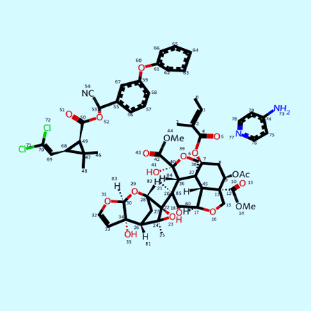 C/C=C(\C)C(=O)O[C@H]1C[C@@H](OC(C)=O)[C@@]2(C(=O)OC)CO[C@H]3[C@@H](O)[C@@](C)([C@]45O[C@@]4(C)[C@H]4C[C@@H]5O[C@@H]5OC=C[C@@]54O)[C@H]4[C@]1(CO[C@]4(O)C(=O)OC)[C@@H]32.CC1(C)[C@H](C(=O)OC(C#N)c2cccc(Oc3ccccc3)c2)[C@@H]1C=C(Cl)Cl.Nc1ccncc1